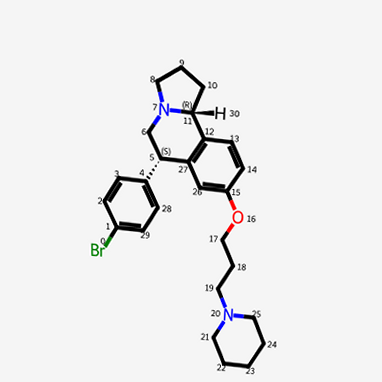 Brc1ccc([C@@H]2CN3CCC[C@@H]3c3ccc(OCCCN4CCCCC4)cc32)cc1